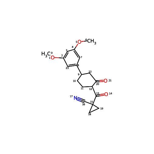 COc1cc(OC)cc(C2CCC(C(=O)C3(C#N)CC3)C(=O)C2)c1